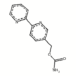 NC(=O)OCc1ccc(-c2ccccn2)nc1